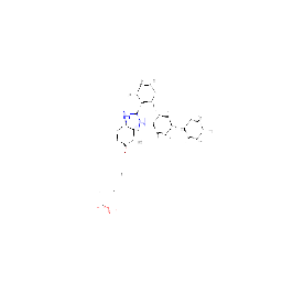 O=C(O)CCCCCOc1ccc2nc(-c3ccccc3)n(-c3ccc(-c4ccccc4)cc3)c2c1